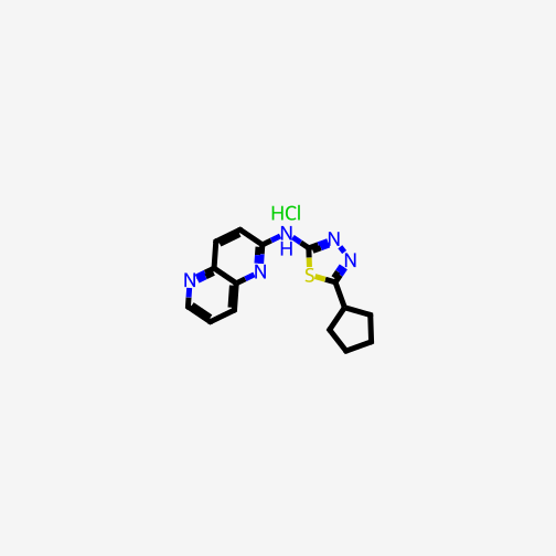 Cl.c1cnc2ccc(Nc3nnc(C4CCCC4)s3)nc2c1